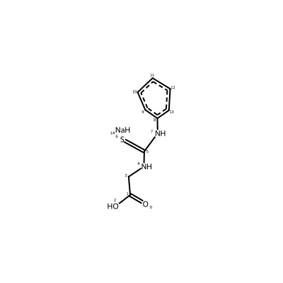 O=C(O)CNC(=S)Nc1ccccc1.[NaH]